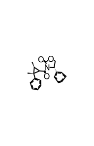 C[C@H]1C(C(=O)N2C(=O)OC[C@@H]2c2ccccc2)[C@]1(C)c1ccccc1